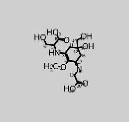 COC1=C(NC(CO)C(=O)O)CC(O)(CO)CC1=NCC(=O)O